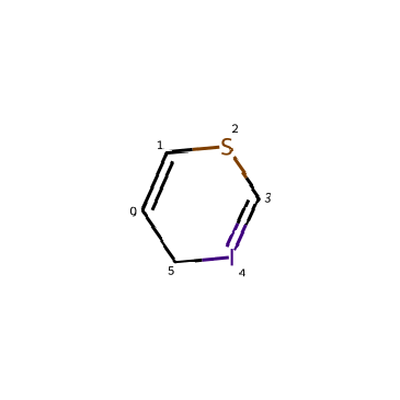 C1=CSC=IC1